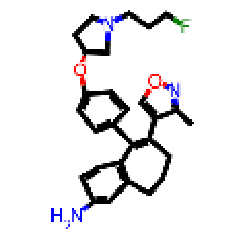 Cc1nocc1C1=C(c2ccc(O[C@H]3CCN(CCCF)C3)cc2)c2ccc(N)cc2CCC1